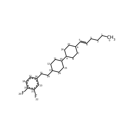 CCCCC=CC1CCC(C2CCC(CCc3ccc(F)c(F)c3)CC2)CC1